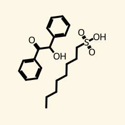 CCCCCCCCS(=O)(=O)O.O=C(c1ccccc1)C(O)c1ccccc1